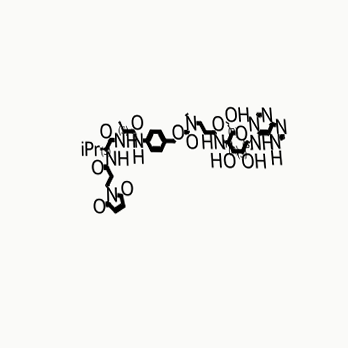 CC(C)[C@H](NC(=O)CCN1C(=O)C=CC1=O)C(=O)N[C@@H](C)C(=O)Nc1ccc(COC(=O)N(C)CCC(=O)N[C@@H]2[C@@H](O)[C@H](O)[C@@H](Nc3ncnc4nc[nH]c34)O[C@H]2CO)cc1